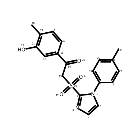 Cc1ccc(-n2ccnc2S(=O)(=O)CC(=O)c2ccc(C)c(O)c2)cc1